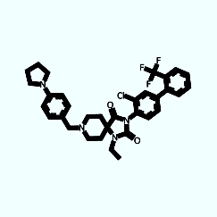 CCN1C(=O)N(c2ccc(-c3ccccc3C(F)(F)F)cc2Cl)C(=O)C12CCN(Cc1ccc(N3CCCC3)cc1)CC2